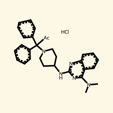 CC(=O)C(c1ccccc1)(c1ccccc1)N1CCC(Nc2nc(N(C)C)c3ccccc3n2)CC1.Cl